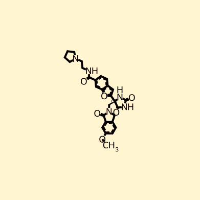 COc1ccc2c(c1)C(=O)N(C[C@@]1(c3cc4ccc(C(=O)NCCN5CCCC5)cc4o3)NC(=O)NC1=O)C2